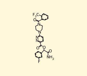 NC(=O)C(OC(=O)c1ccc(N2CCN(C(=O)c3ccccc3C(F)(F)F)CC2)nn1)c1cccc(F)c1